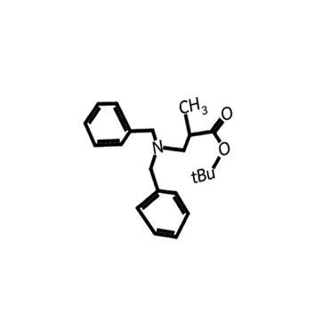 CC(CN(Cc1ccccc1)Cc1ccccc1)C(=O)OC(C)(C)C